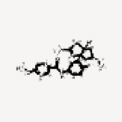 COc1cnc(C(=O)Nc2ccc(F)c([C@]34C[C@H](OC)C[C@H]3CSC(N)=N4)c2)cn1